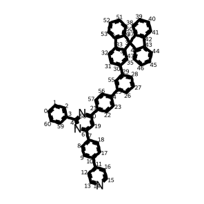 c1ccc(-c2nc(-c3ccc(-c4ccncc4)cc3)cc(-c3ccc(-c4cccc(-c5ccc6c(c5)C5(c7ccccc7-c7ccccc75)c5ccccc5-6)c4)cc3)n2)cc1